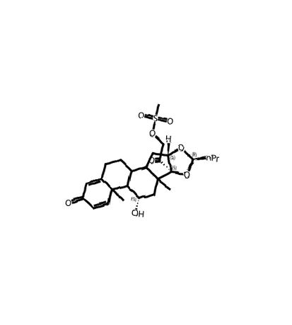 CCC[C@@H]1O[C@H]2CC3C4CCC5=CC(=O)C=CC5(C)C4[C@@H](O)CC3(C)[C@]2(C(=O)COS(C)(=O)=O)O1